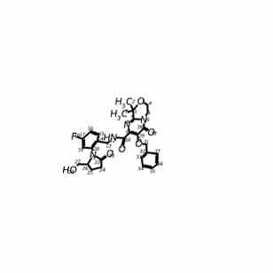 CC1(C)OCCn2c1nc(C(=O)NCc1ccc(F)cc1N1C(=O)CCC1CO)c(OCc1ccccc1)c2=O